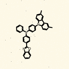 Cc1ccc2c(c1)c1cc(C)ccc1n2-c1ccc(N(c2ccccc2)c2ccc(-c3nc4ccccc4o3)cc2)cc1